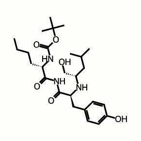 CCCC[C@H](NC(=O)OC(C)(C)C)C(=O)NC(=O)[C@H](Cc1ccc(O)cc1)N[C@H](CO)CC(C)C